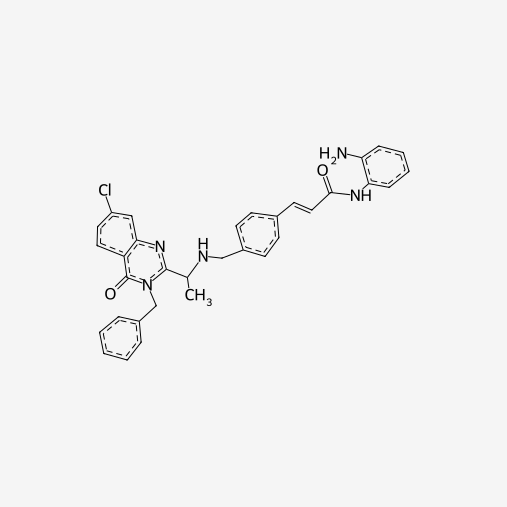 CC(NCc1ccc(C=CC(=O)Nc2ccccc2N)cc1)c1nc2cc(Cl)ccc2c(=O)n1Cc1ccccc1